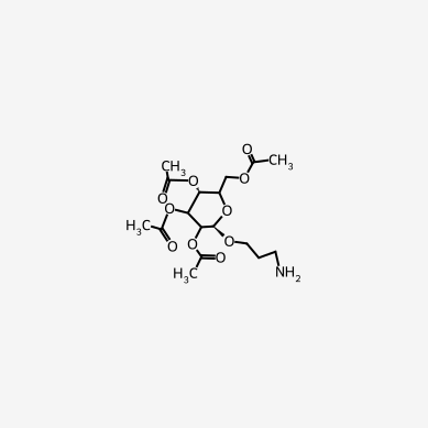 CC(=O)OCC1O[C@@H](OCCCN)C(OC(C)=O)C(OC(C)=O)[C@@H]1OC(C)=O